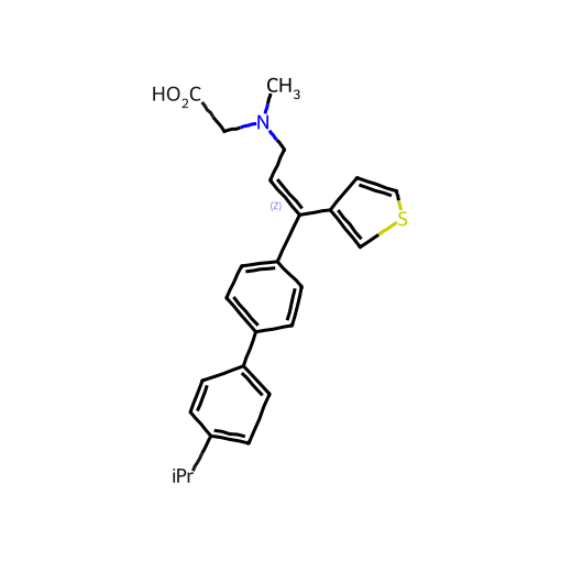 CC(C)c1ccc(-c2ccc(/C(=C/CN(C)CC(=O)O)c3ccsc3)cc2)cc1